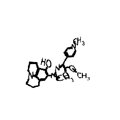 COC(=O)/C(=N\N(C)c1cc2c3c(c1O)CCCN3CCC2)c1cc[n+](C)cc1